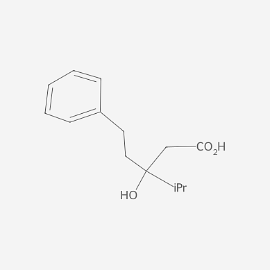 CC(C)C(O)(CCc1ccccc1)CC(=O)O